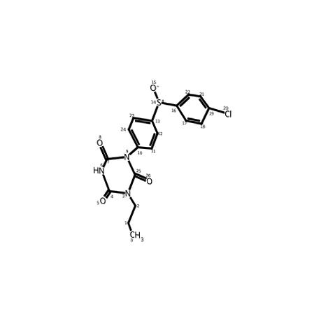 CCCn1c(=O)[nH]c(=O)n(-c2ccc([S+]([O-])c3ccc(Cl)cc3)cc2)c1=O